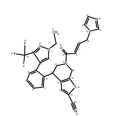 CCn1cc(-c2ccccc2C2CN(C(=O)/C=C/Cn3ccnc3)Cc3sc(C#N)cc32)c(C(F)(F)F)n1